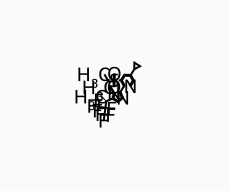 CCS(=O)(=O)c1cc(C2CC2)cnc1-c1ncc([C@H](C)C(F)(C(F)(F)F)C(F)(F)F)n1C